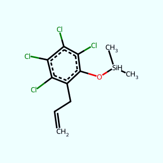 C=CCc1c(Cl)c(Cl)c(Cl)c(Cl)c1O[SiH](C)C